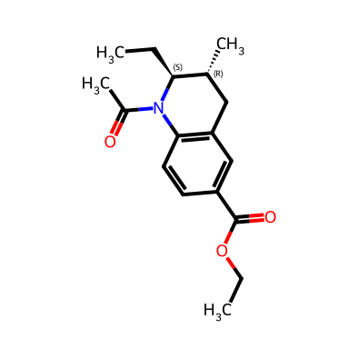 CCOC(=O)c1ccc2c(c1)C[C@@H](C)[C@H](CC)N2C(C)=O